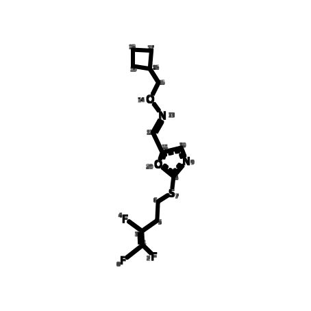 FC(F)=C(F)CCSc1ncc(C=NOCC2CCC2)o1